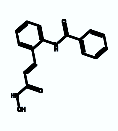 O=C(C=Cc1ccccc1NC(=O)c1ccccc1)NO